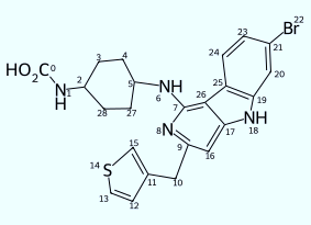 O=C(O)NC1CCC(Nc2nc(Cc3ccsc3)cc3[nH]c4cc(Br)ccc4c23)CC1